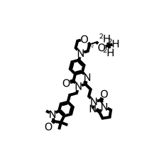 [2H]C([2H])([2H])OC[C@H]1CN(c2ccc3c(=O)n(CCc4ccc5c(c4)N(C)C(=O)C5(C)C)c(CCn4nc5n(c4=O)CCC5)nc3c2)CCO1